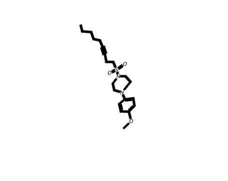 CCCCCC#C[CH]CS(=O)(=O)N1CCN(c2ccc(OC)cc2)CC1